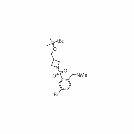 CNCc1ccc(Br)cc1S(=O)(=O)N1CC(CO[Si](C)(C)C(C)(C)C)C1